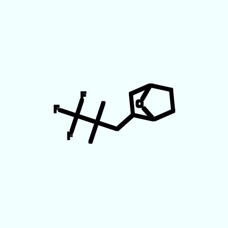 CC(C)(CC1CC2CCC1O2)C(F)(F)F